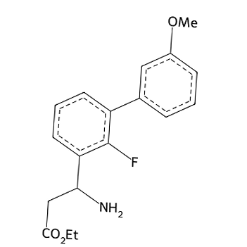 CCOC(=O)CC(N)c1cccc(-c2cccc(OC)c2)c1F